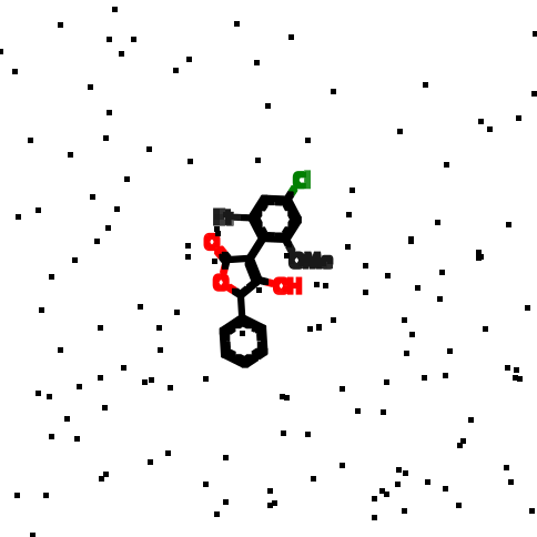 CCc1cc(Cl)cc(OC)c1C1=C(O)C(c2ccccc2)OC1=O